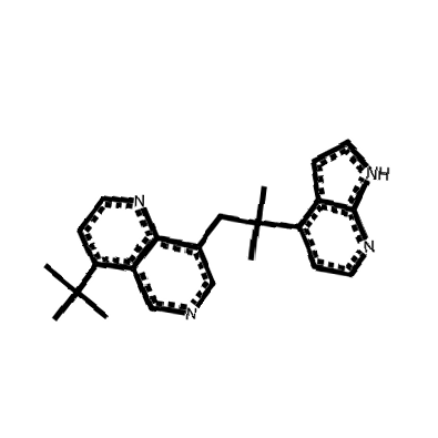 CC(C)(C)c1ccnc2c(CC(C)(C)c3ccnc4[nH]ccc34)cncc12